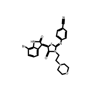 N#Cc1ccc(/N=C2\S/C(=C3\C(=O)Nc4c(Br)cccc43)C(=O)N2CCN2CCOCC2)cc1